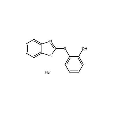 Br.Oc1ccccc1Sc1nc2ccccc2s1